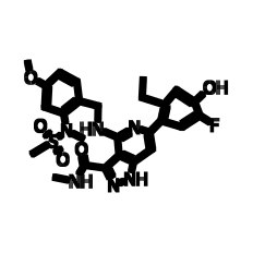 CCc1cc(O)c(F)cc1-c1cc2[nH]nc(C(=O)NC)c2c(NCc2ccc(OC)cc2N(C)S(C)(=O)=O)n1